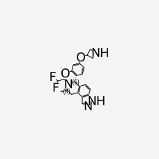 COc1cc(OC2CNC2)ccc1[C@@H]1c2ccc3[nH]ncc3c2C[C@@H](C)N1CC(F)F